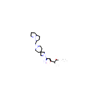 COC(=O)C(c1cc(N2CC3(CCN(CC4CCC5CCCN54)CC3)C2)no1)C(C)C